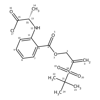 C=C(COC(=O)c1ccccc1N[C@@H](C)C(=O)Cl)S(=O)(=O)C(C)(C)C